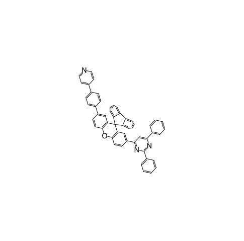 c1ccc(-c2cc(-c3ccc4c(c3)C3(c5cc(-c6ccc(-c7ccncc7)cc6)ccc5O4)c4ccccc4-c4ccccc43)nc(-c3ccccc3)n2)cc1